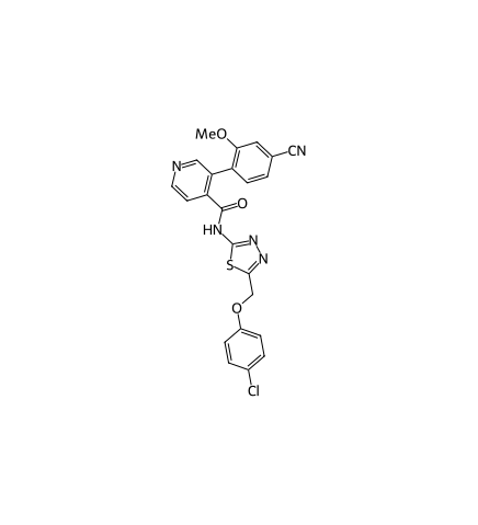 COc1cc(C#N)ccc1-c1cnccc1C(=O)Nc1nnc(COc2ccc(Cl)cc2)s1